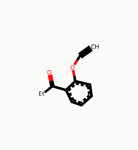 C#COc1ccccc1C(=O)CC